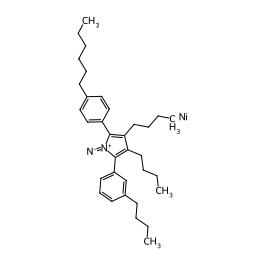 CCCCCCc1ccc(C2=C(CCCC)C(CCCC)=C(c3cccc(CCCC)c3)[N+]2=[N-])cc1.[Ni]